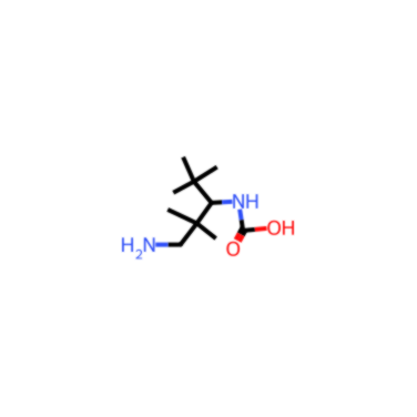 CC(C)(C)C(NC(=O)O)C(C)(C)CN